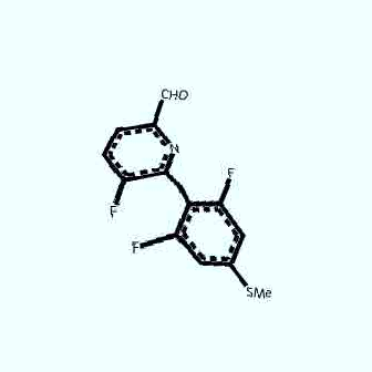 CSc1cc(F)c(-c2nc(C=O)ccc2F)c(F)c1